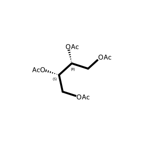 CC(=O)OC[C@H](OC(C)=O)[C@@H](COC(C)=O)OC(C)=O